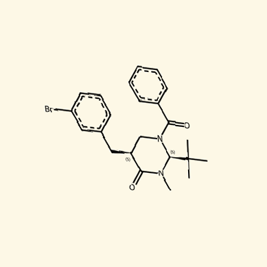 CN1C(=O)[C@@H](Cc2cccc(Br)c2)CN(C(=O)c2ccccc2)[C@H]1C(C)(C)C